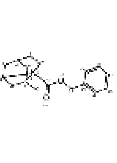 CC12CC3CC(CC(C3)N1C(=O)OCc1ccccc1)C2